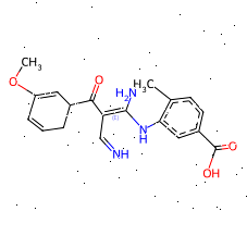 COC1=CC(C(=O)/C(C=N)=C(\N)Nc2cc(C(=O)O)ccc2C)CC=C1